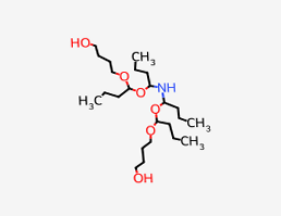 CCCC(NC(CCC)OC(CCC)OCCCCO)OC(CCC)OCCCCO